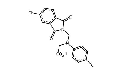 O=C(O)CN(CN1C(=O)c2ccc(Cl)cc2C1=O)c1ccc(Cl)cc1